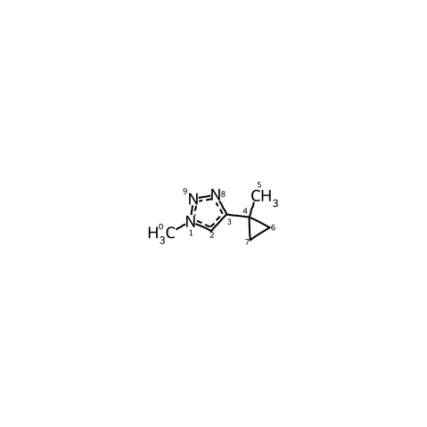 Cn1cc(C2(C)CC2)nn1